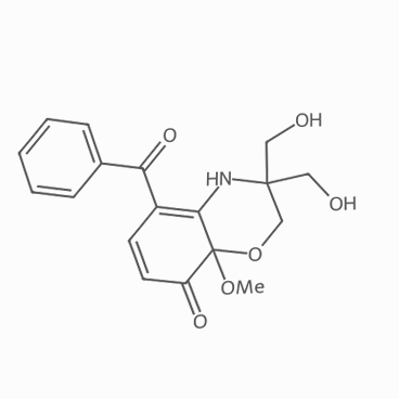 COC12OCC(CO)(CO)NC1=C(C(=O)c1ccccc1)C=CC2=O